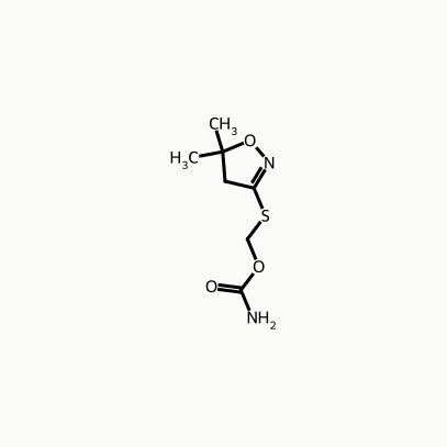 CC1(C)CC(SCOC(N)=O)=NO1